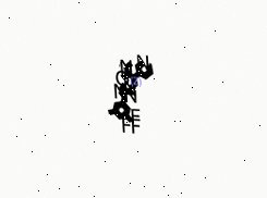 Cc1cc(-c2ncn(/C=C(\C(=O)N(C)C)c3cccnc3)n2)cc(C(F)(F)F)c1